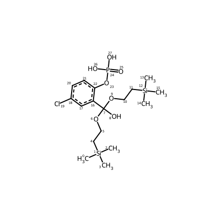 C[Si](C)(C)CCOC(O)(OCC[Si](C)(C)C)c1cc(Cl)ccc1OP(=O)(O)O